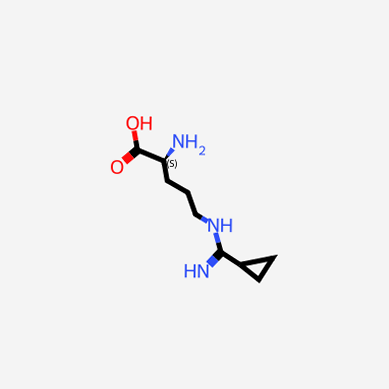 N=C(NCCC[C@H](N)C(=O)O)C1CC1